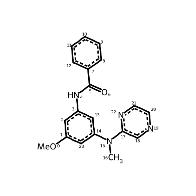 COc1cc(NC(=O)c2ccccc2)cc(N(C)c2cnccn2)c1